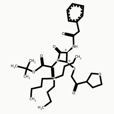 CCCCP(CCCC)(CCCC)=C(C(=O)OC(C)(C)C)N1C(=O)[C@@H](NC(=O)Cc2ccccc2)[C@H]1SCC(=O)C1CCOC1